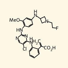 C=C(C(=O)O)c1ccccc1Nc1nc(Nc2ccc(NC3CN(CCF)C3)cc2OC)ncc1Cl